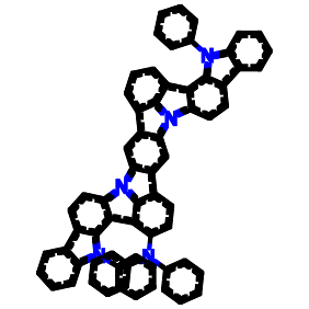 c1ccc(N(c2ccccc2)c2ccc3c4cc5c(cc4n4c6ccc7c8ccccc8n(-c8ccccc8)c7c6c2c34)c2cccc3c4c6c(ccc4n5c23)c2ccccc2n6-c2ccccc2)cc1